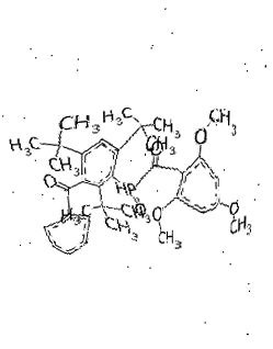 COc1cc(OC)c(C(=O)[PH](=O)c2c(C(C)(C)C)cc(C(C)(C)C)c(C(=O)c3ccccc3)c2C(C)(C)C)c(OC)c1